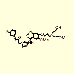 COCCN(CCO)CCCOc1cc2ncnc(Nc3cnn(CC(=O)Nc4cccc(F)c4)c3)c2cc1OC